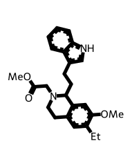 CCc1cc2c(cc1OC)C(CCc1c[nH]c3ccccc13)N(CC(=O)OC)CC2